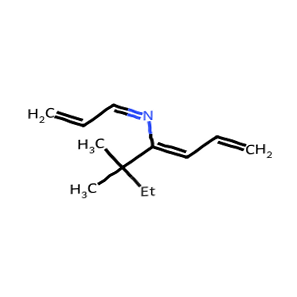 C=C/C=N\C(=C/C=C)C(C)(C)CC